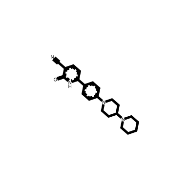 N#Cc1ccc(-c2ccc(N3CCC(N4CCCCC4)CC3)cc2)[nH]c1=O